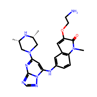 C[C@@H]1CN(c2cc(Nc3ccc4c(c3)cc(OCCN)c(=O)n4C)n3ncnc3n2)C[C@H](C)N1